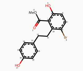 COC(=O)c1c(O)ccc(Br)c1CCc1ccc(O)cc1